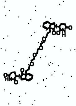 O=C1CCC(N2C=C3C=CC=CC3(CCCOCCOCCOCCOCCCC34C=CC=CC3=CN(C3CCC(=O)NC3=O)C4=O)C2=O)C(=O)N1